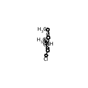 COC(=O)C(Cc1ccc(OCc2cccc(C)c2)cc1)NC(=O)c1cc2cc(-c3ccc(Cl)cc3)ccc2s1